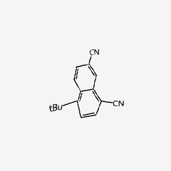 CC(C)(C)c1ccc(C#N)c2cc(C#N)ccc12